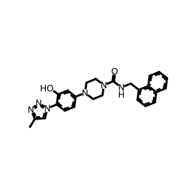 Cc1cn(-c2ccc(N3CCN(C(=O)NCc4cccc5ccccc45)CC3)cc2O)nn1